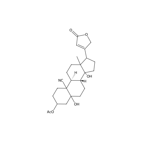 CC(=O)OC1CCC2(C#N)[C@H]3CCC4(C)C(C5=CC(=O)OC5)CCC4(O)[C@@H]3CCC2(O)C1